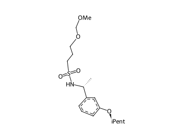 CCC[C@H](C)Oc1cccc([C@@H](C)NS(=O)(=O)CCCOCOC)c1